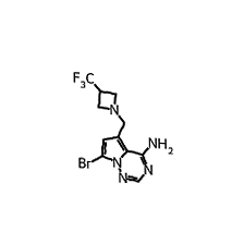 Nc1ncnn2c(Br)cc(CN3CC(C(F)(F)F)C3)c12